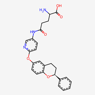 NC(CCC(=O)Nc1ccc(Oc2ccc3c(c2)CC[C@@H](c2ccccc2)O3)nc1)C(=O)O